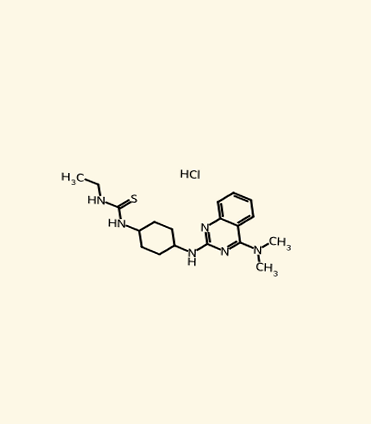 CCNC(=S)NC1CCC(Nc2nc(N(C)C)c3ccccc3n2)CC1.Cl